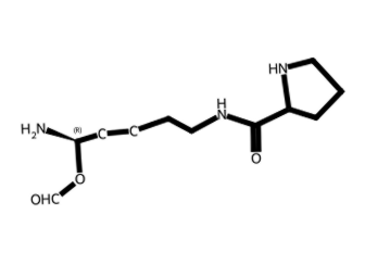 N[C@@H](CCCCNC(=O)C1CCCN1)OC=O